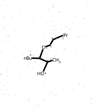 CCCCC(OCCC(C)C)C(C)O